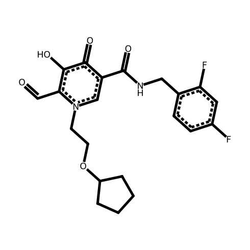 O=Cc1c(O)c(=O)c(C(=O)NCc2ccc(F)cc2F)cn1CCOC1CCCC1